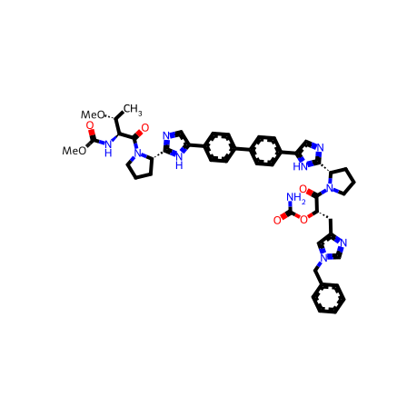 COC(=O)N[C@H](C(=O)N1CCC[C@H]1c1ncc(-c2ccc(-c3ccc(-c4cnc([C@@H]5CCCN5C(=O)[C@H](Cc5cn(Cc6ccccc6)cn5)OC(N)=O)[nH]4)cc3)cc2)[nH]1)[C@@H](C)OC